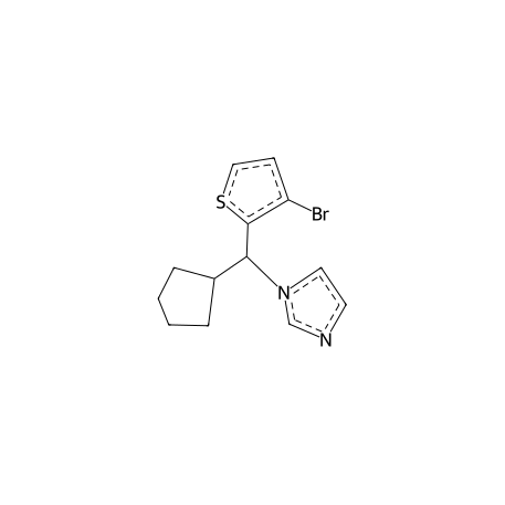 Brc1ccsc1C(C1CCCC1)n1ccnc1